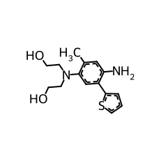 Cc1cc(N)c(-c2cccs2)cc1N(CCO)CCO